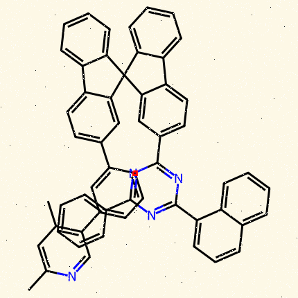 Cc1cc(C)c(-c2cccc(-c3ccc4c(c3)C3(c5ccccc5-4)c4ccccc4-c4ccc(-c5nc(-c6ccccc6)nc(-c6cccc7ccccc67)n5)cc43)c2)cn1